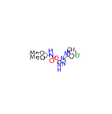 COCC(COC)NC(=O)Oc1c[nH]c2ncc(-c3nn(C)c4cc(Cl)ccc34)nc12